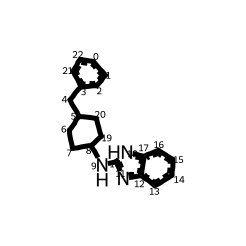 c1ccc(CC2CCC(Nc3nc4ccccc4[nH]3)CC2)cc1